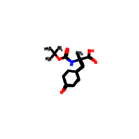 CC(C)(C)OC(=O)NC(C)(CC1CCC(=O)CC1)C(=O)O